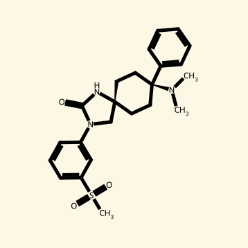 CN(C)[C@]1(c2ccccc2)CC[C@@]2(CC1)CN(c1cccc(S(C)(=O)=O)c1)C(=O)N2